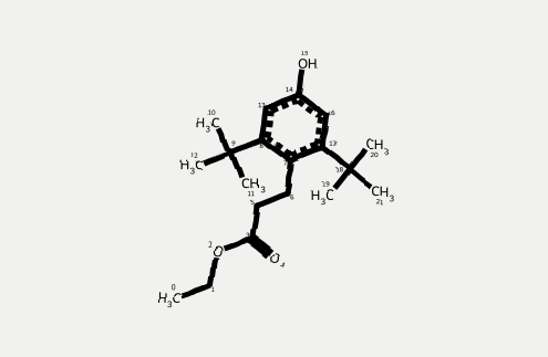 CCOC(=O)CCc1c(C(C)(C)C)cc(O)cc1C(C)(C)C